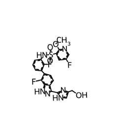 COc1ncc(F)cc1S(=O)(=O)Nc1cccc(-c2ccc3c(-c4nc(CO)c[nH]4)n[nH]c3c2F)c1F